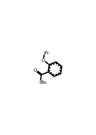 CC(C)Oc1ccccc1C(=O)C(C)(C)C